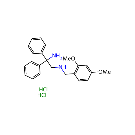 COc1ccc(CNCC(N)(c2ccccc2)c2ccccc2)c(OC)c1.Cl.Cl